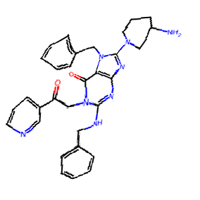 NC1CCCN(c2nc3nc(NCc4ccccc4)n(CC(=O)c4cccnc4)c(=O)c3n2Cc2ccccc2)C1